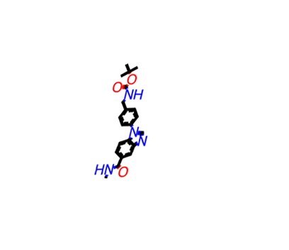 CNC(=O)c1ccc2c(c1)ncn2-c1ccc(CNC(=O)OC(C)(C)C)cc1